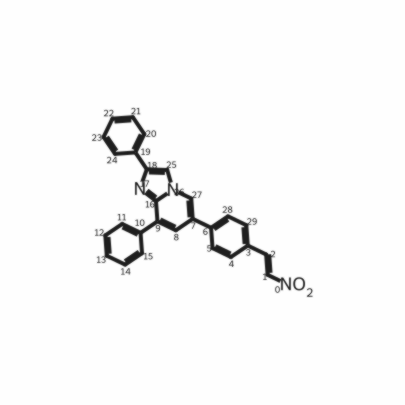 O=[N+]([O-])C=Cc1ccc(-c2cc(-c3ccccc3)c3nc(-c4ccccc4)cn3c2)cc1